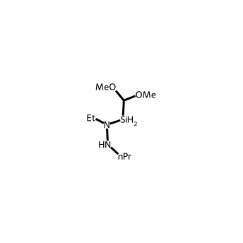 CCCNN(CC)[SiH2]C(OC)OC